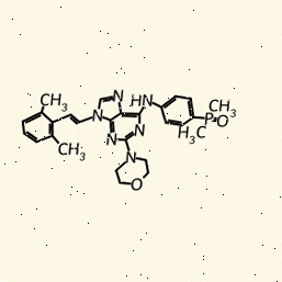 Cc1cccc(C)c1C=Cn1cnc2c(Nc3ccc(P(C)(C)=O)cc3)nc(N3CCOCC3)nc21